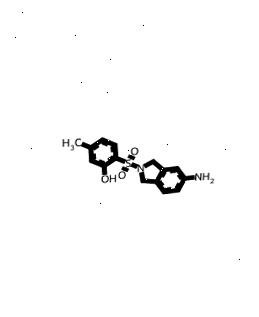 Cc1ccc(S(=O)(=O)N2Cc3ccc(N)cc3C2)c(O)c1